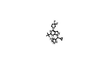 CC(C)(C)c1nc(N2CCC(F)(F)C2)c2cnn(C(c3nnn[nH]3)C3CC3)c2n1